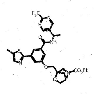 CCOC(=O)N1CC2(COc3cc(C(=O)NC(C)c4cnc(C(F)(F)F)nc4)cc(-c4ncc(C)s4)c3)CC1CO2